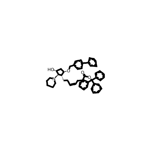 O=C(CC/C=C\CC[C@@H]1[C@@H](N2CCCCC2)[C@H](O)C[C@@H]1OCc1ccc(-c2ccccc2)cc1)OC(c1ccccc1)(c1ccccc1)c1ccccc1